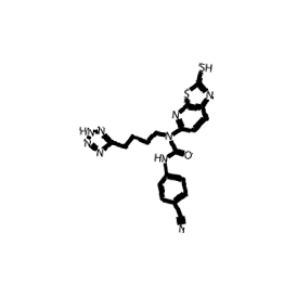 N#Cc1ccc(NC(=O)N(CCCCc2nn[nH]n2)c2ccc3nc(S)sc3n2)cc1